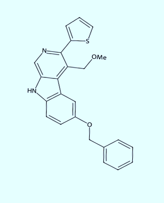 COCc1c(-c2cccs2)ncc2[nH]c3ccc(OCc4ccccc4)cc3c12